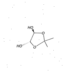 CC1(C)O[C@H](O)[C@@H](O)O1